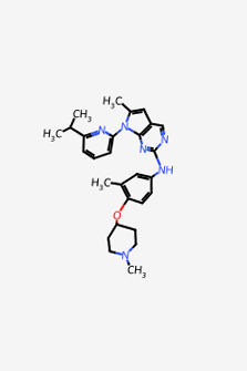 Cc1cc(Nc2ncc3cc(C)n(-c4cccc(C(C)C)n4)c3n2)ccc1OC1CCN(C)CC1